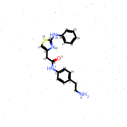 NCCc1ccc(NC(=O)Cc2csc(Nc3ccccc3)n2)cc1